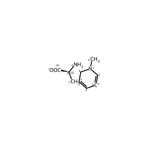 CN1C=[C+]C=CC1.C[C@H](N)C(=O)[O-]